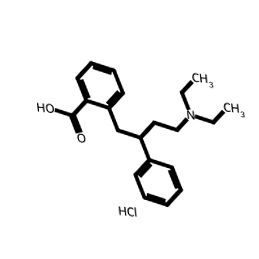 CCN(CC)CCC(Cc1ccccc1C(=O)O)c1ccccc1.Cl